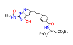 CCOC(=O)CC[C@@H](NC(=O)c1ccc(CCCc2cnc3nc(NC(=O)C(C)(C)C)nc(O)c3c2)cc1)C(=O)OCC